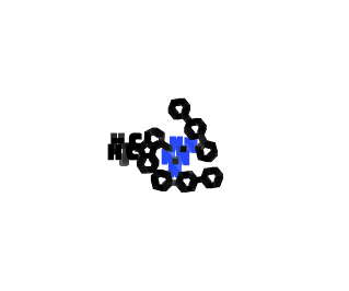 CC1(C)c2ccccc2-c2c(-c3nc(-n4c5ccccc5c5ccc(-c6ccccc6)cc54)nc(-n4c5ccccc5c5ccc(-c6ccccc6)cc54)n3)cccc21